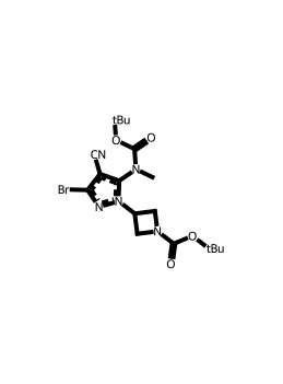 CN(C(=O)OC(C)(C)C)c1c(C#N)c(Br)nn1C1CN(C(=O)OC(C)(C)C)C1